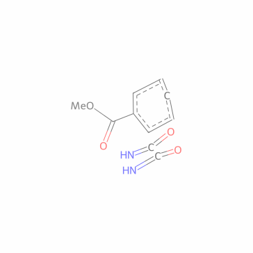 COC(=O)c1ccccc1.N=C=O.N=C=O